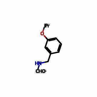 CC(C)Oc1cccc(CN[C]=O)c1